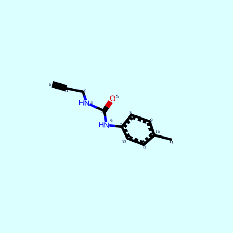 C#CCNC(=O)Nc1ccc(C)cc1